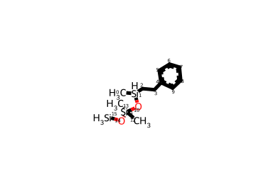 C[SiH](CCc1ccccc1)O[Si](C)(C)O[SiH3]